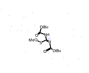 COS/C(=N\C(=O)OCC(C)C)NC(=O)OCC(C)C